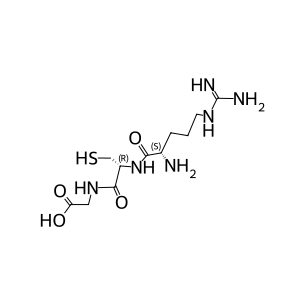 N=C(N)NCCC[C@H](N)C(=O)N[C@@H](CS)C(=O)NCC(=O)O